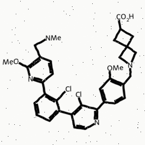 CNCc1ccc(-c2cccc(-c3ccnc(-c4ccc(CN5CC6(CC(C(=O)O)C6)C5)c(OC)c4)c3Cl)c2Cl)nc1OC